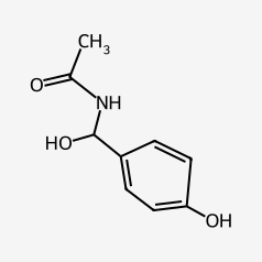 CC(=O)NC(O)c1ccc(O)cc1